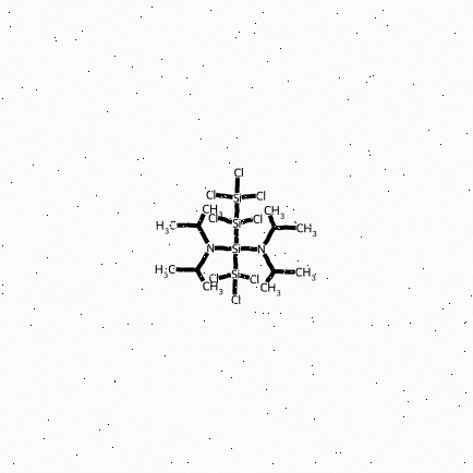 CC(C)N(C(C)C)[Si](N(C(C)C)C(C)C)([Si](Cl)(Cl)Cl)[Si](Cl)(Cl)[Si](Cl)(Cl)Cl